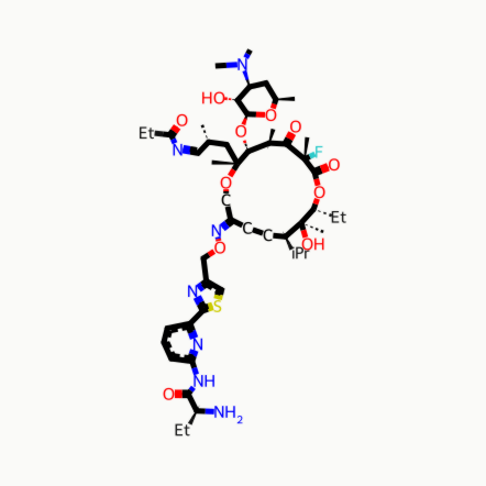 CCC(=O)/N=C\[C@H](C)C[C@@]1(C)OC/C(=N/OCc2csc(-c3cccc(NC(=O)[C@@H](N)CC)n3)n2)CC[C@H](C(C)C)[C@](C)(O)[C@@H](CC)OC(=O)[C@@](C)(F)C(=O)[C@H](C)[C@H]1O[C@@H]1O[C@H](C)C[C@H](N(C)C)[C@H]1O